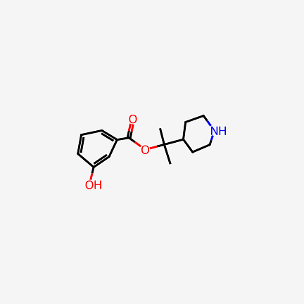 CC(C)(OC(=O)c1cccc(O)c1)C1CCNCC1